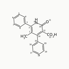 Cc1c(-c2ccccc2)[nH]c(=O)c(C(=O)O)c1-c1ccccc1